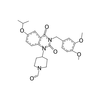 COc1ccc(Cn2c(=O)c3cc(OC(C)C)ccc3n(C3CCN(C=O)CC3)c2=O)cc1OC